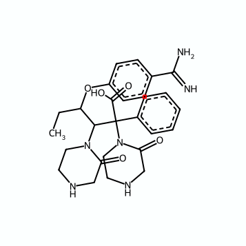 CCC(Oc1ccc(C(=N)N)cc1)C(N1CCNCC1=O)C(C(=O)O)(c1ccccc1)N1CCNCC1=O